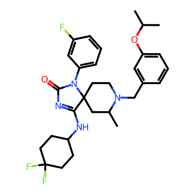 CC(C)Oc1cccc(CN2CCC3(CC2C)C(NC2CCC(F)(F)CC2)=NC(=O)N3c2cccc(F)c2)c1